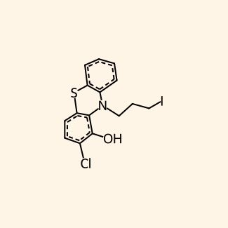 Oc1c(Cl)ccc2c1N(CCCI)c1ccccc1S2